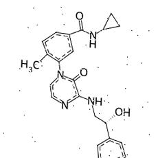 Cc1ccc(C(=O)NC2CC2)cc1-n1ccnc(NC[C@H](O)c2ccccc2)c1=O